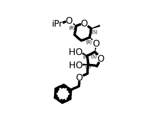 CC(C)O[C@H]1CC[C@@H](O[C@@H]2OC[C@](O)(COCc3ccccc3)[C@H]2O)[C@H](C)O1